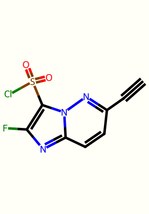 C#Cc1ccc2nc(F)c(S(=O)(=O)Cl)n2n1